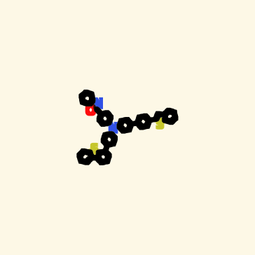 c1ccc2sc(-c3ccc(-c4ccc(N(c5ccc(-c6nc7ccccc7o6)cc5)c5ccc(-c6cccc7c6sc6ccccc67)cc5)cc4)cc3)cc2c1